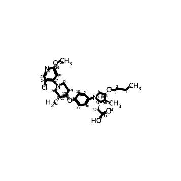 CCCCO[C@H]1CN(c2ccc(O[C@@H]3CCN(c4cc(OC)ncc4Cl)C[C@H]3C)cc2)[C@@H](CC(=O)O)[C@@H]1C